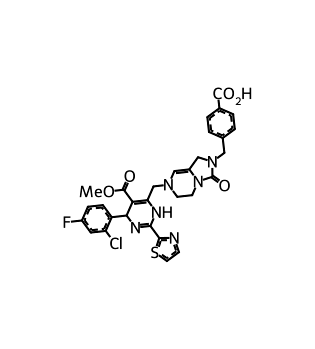 COC(=O)C1=C(CN2C=C3CN(Cc4ccc(C(=O)O)cc4)C(=O)N3CC2)NC(c2nccs2)=NC1c1ccc(F)cc1Cl